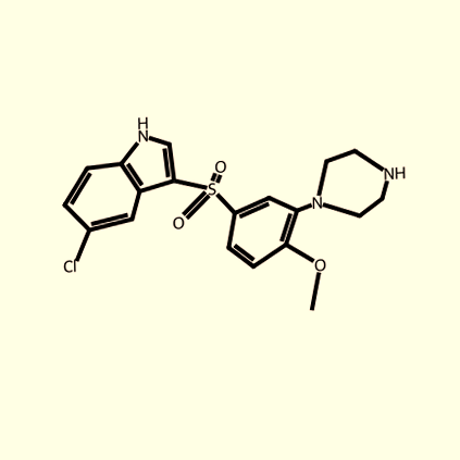 COc1ccc(S(=O)(=O)c2c[nH]c3ccc(Cl)cc23)cc1N1CCNCC1